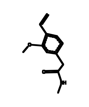 C=Cc1ccc(CC(=O)NC)cc1OC